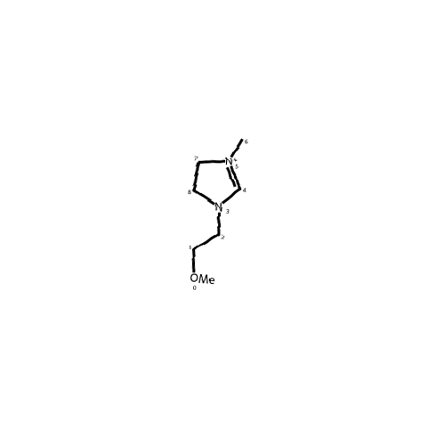 COCCN1C=[N+](C)CC1